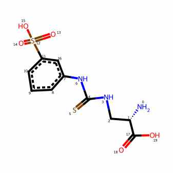 N[C@@H](CNC(=S)Nc1cccc(S(=O)(=O)O)c1)C(=O)O